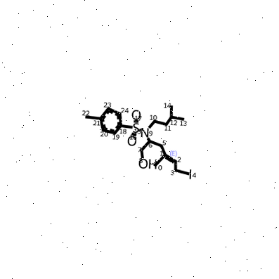 C/C(=C\CI)CC(CO)N(CCC(C)C)S(=O)(=O)c1ccc(C)cc1